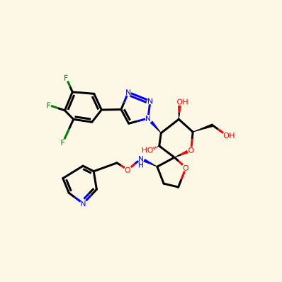 OC[C@H]1O[C@]2(OCC[C@H]2NOCc2cccnc2)[C@H](O)[C@@H](n2cc(-c3cc(F)c(F)c(F)c3)nn2)[C@H]1O